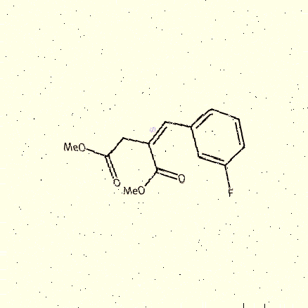 COC(=O)C/C(=C/c1cccc(F)c1)C(=O)OC